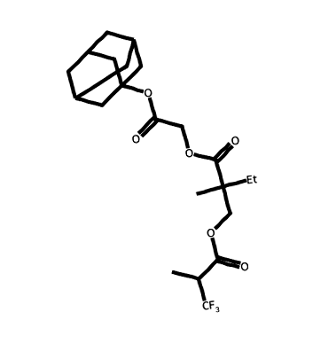 CCC(C)(COC(=O)C(C)C(F)(F)F)C(=O)OCC(=O)OC12CC3CC(CC(C3)C1)C2